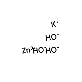 [K+].[OH-].[OH-].[OH-].[Zn+2]